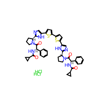 Cl.Cl.O=C(N[C@H](C(=O)N1CCC[C@H]1c1ncc(-c2ccc(-c3ccc(-c4cnc([C@@H]5CCCN5C(=O)[C@@H](NC(=O)C5CC5)c5ccccc5)[nH]4)s3)s2)[nH]1)c1ccccc1)C1CC1